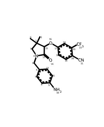 CC1(C)CN(Cc2ccc(N)cc2)C(=O)C1Oc1ccc(C#N)c(C(F)(F)F)c1